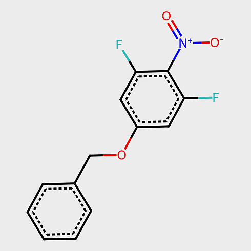 O=[N+]([O-])c1c(F)cc(OCc2ccccc2)cc1F